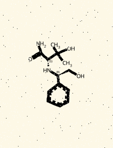 CC(C)(O)[C@H](N[C@@H](CO)c1ccccc1)C(N)=O